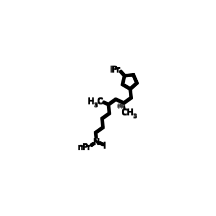 CCCN(I)CCCCC(C)C[C@@H](C)CC1CCC(C(C)C)C1